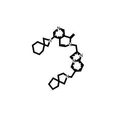 C=C1c2cncc(N3CC4(CCCCC4)C3)c2C=CN1Cc1cn2cc(CN3CCC4(CCCC4)C3)ccc2n1